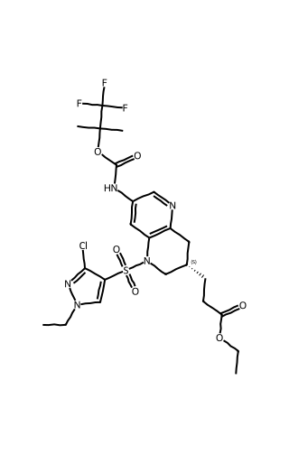 CCOC(=O)CC[C@H]1Cc2ncc(NC(=O)OC(C)(C)C(F)(F)F)cc2N(S(=O)(=O)c2cn(CC)nc2Cl)C1